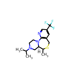 CC1SCc2cc(C(F)(F)F)cnc2N2CCN(C(C)C)C[C@H]12